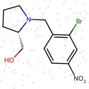 O=[N+]([O-])c1ccc(CN2CCC[C@H]2CO)c(Br)c1